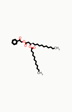 CCCCCCCCCCCC(=O)O[C@H](CCCCCCCCCCC)CC(=O)OCC(=O)c1ccccc1